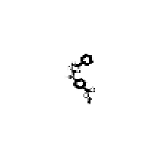 CCOC(=O)c1ccc(Nc2nnc(-c3ccccc3)s2)cc1